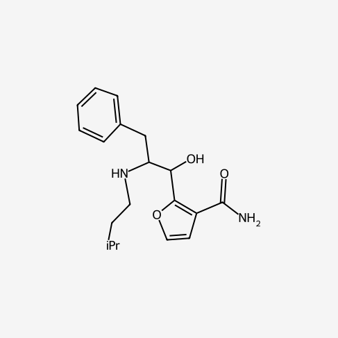 CC(C)CCNC(Cc1ccccc1)C(O)c1occc1C(N)=O